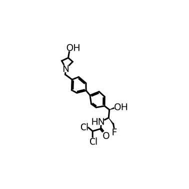 O=C(N[C@H](CF)[C@H](O)c1ccc(-c2ccc(CN3CC(O)C3)cc2)cc1)C(Cl)Cl